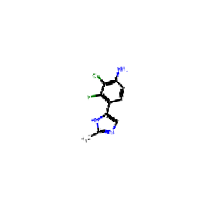 Cc1ncc(-c2ccc(N)c(Cl)c2F)[nH]1